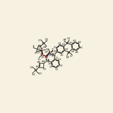 C=C=C(C=CC(C)(C)C)N(c1ccccc1N(/C(C)=C/C(C)C(C)(C)CC(C)(C)C)c1ccc2c(c1)C(C)(C)c1ccccc1C2(C)C)C1C=C(C(C)(C)C)C1